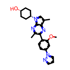 COc1cc(-n2cccn2)ccc1-c1nc2c(C)cn([C@H]3CC[C@@H](O)CC3)c2nc1C